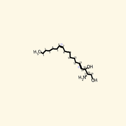 CCCCCC/C=C\CCCCC/C=C/[C@@H](O)[C@@H](N)CO